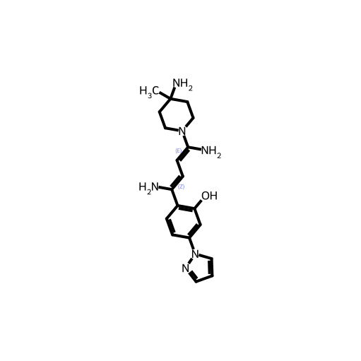 CC1(N)CCN(/C(N)=C/C=C(\N)c2ccc(-n3cccn3)cc2O)CC1